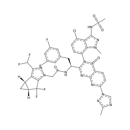 Cc1ncn(-c2ccc3c(=O)n(-c4ccc(Cl)c5c(NS(C)(=O)=O)nn(C)c45)c([C@H](Cc4cc(F)cc(F)c4)NC(=O)Cn4nc(C(F)F)c5c4C(F)(F)[C@@H]4C[C@H]54)nc3n2)n1